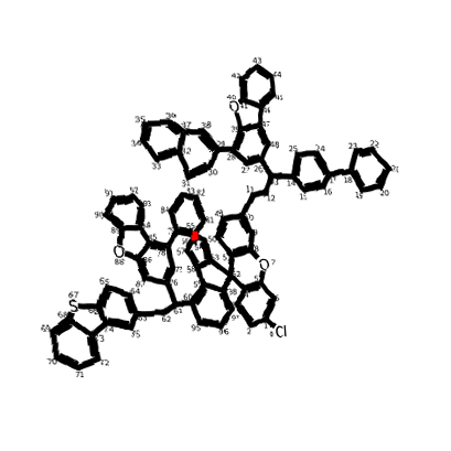 Clc1ccc2c(c1)Oc1cc(CCC(c3ccc(-c4ccccc4)cc3)c3cc(-c4ccc5ccccc5c4)c4oc5ccccc5c4c3)ccc1C21c2ccccc2-c2c(C(Cc3ccc4sc5ccccc5c4c3)c3cc(-c4ccccc4)c4c(c3)oc3ccccc34)cccc21